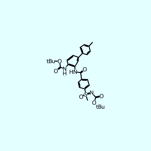 Cc1ccc(-c2ccc(NC(=O)OC(C)(C)C)c(NC(=O)c3ccc(S(C)(=O)=NC(=O)OC(C)(C)C)cc3)c2)cc1